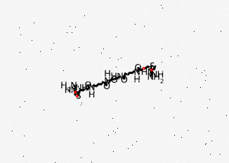 N=C(N)NC1CCSC1CCCCC(=O)NCCCCCC(=O)NCCOCCNC(=O)CCCCCNC(=O)CCCCC1SCCC1NC(=N)N